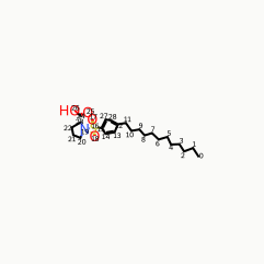 CCCCCCCCCCCCc1ccc(S(=O)(=O)N2CCC[C@@H]2C(=O)O)cc1